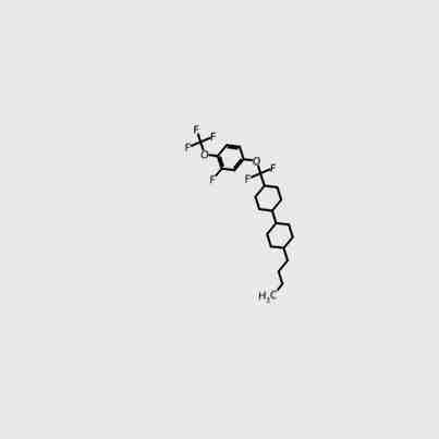 CCCCC1CCC(C2CCC(C(F)(F)Oc3ccc(OC(F)(F)F)c(F)c3)CC2)CC1